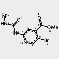 CCCNC(=O)Nc1cc(C(=O)OC)c(Br)cn1